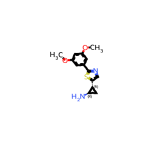 COc1cc(OC)cc(-c2ncc([C@@H]3C[C@H]3N)s2)c1